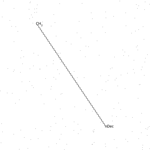 C=CCCCCCCCCCCCCCCCCCCCCCCCCCCCCCCCCCCCCCCCCCCCCCCCCCCCCCCCCCCCCCCCCCCCCCCCCCCCCCCCCCCCCCCCCCCCCCCCCCC